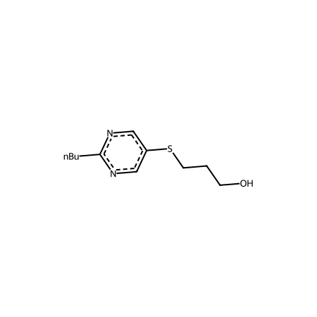 CCCCc1ncc(SCCCO)cn1